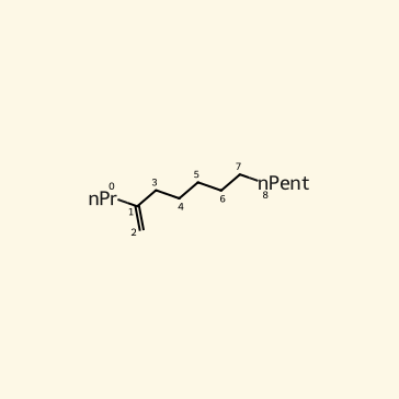 [CH2]CCC(=C)CCCCCCCCCC